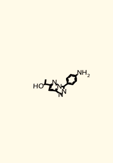 CC(O)c1cc2n(n1)C(c1ccc(N)cc1)N=N2